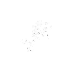 c1ccc([Si](c2ccccc2)(c2ccccc2)c2ccccc2-n2c3ccccc3c3cc(-n4c5ccccc5c5ccccc54)ccc32)cc1